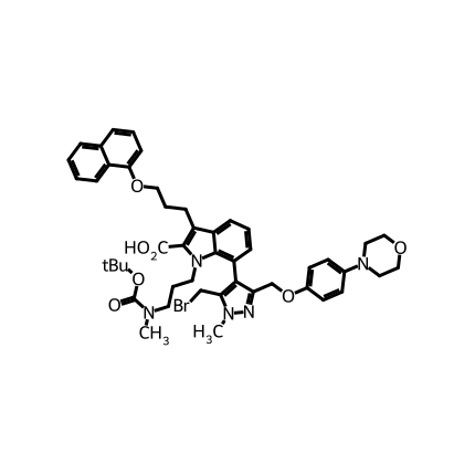 CN(CCCn1c(C(=O)O)c(CCCOc2cccc3ccccc23)c2cccc(-c3c(COc4ccc(N5CCOCC5)cc4)nn(C)c3CBr)c21)C(=O)OC(C)(C)C